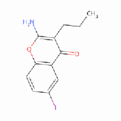 CCCc1c(N)oc2ccc(I)cc2c1=O